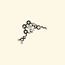 Cn1c(C(=O)Nc2cccc(-c3ccnc(-c4ccc(CN5CC6(CNC(=O)C6)C5)c(OC(F)F)c4)c3Cl)c2Cl)nc2c1CCN(CCCF)C2